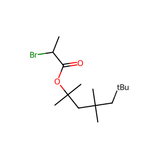 CC(Br)C(=O)OC(C)(C)CC(C)(C)CC(C)(C)C